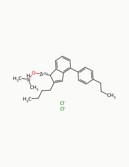 CCCCC1=Cc2c(-c3ccc(CCC)cc3)cccc2[CH]1[Zr+2][O][SiH](C)C.[Cl-].[Cl-]